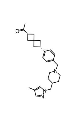 Cc1cnn(CC2CCN(Cc3ccc([C@H]4CC5(C[C@H](C(C)=O)C5)C4)cc3)CC2)c1